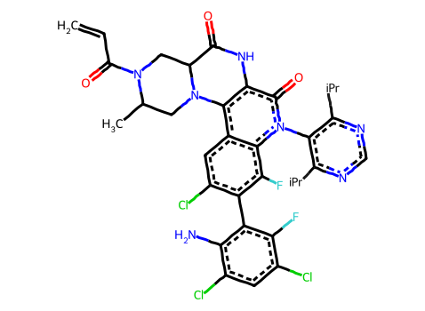 C=CC(=O)N1CC2C(=O)Nc3c(c4cc(Cl)c(-c5c(N)c(Cl)cc(Cl)c5F)c(F)c4n(-c4c(C(C)C)ncnc4C(C)C)c3=O)N2CC1C